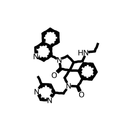 CCNCC1CN(c2cncc3ccccc23)C(=O)C12CN(Cc1cc(C)ncn1)C(=O)c1ccccc12